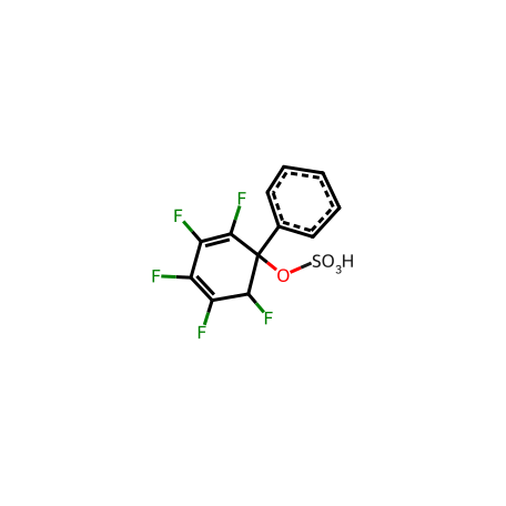 O=S(=O)(O)OC1(c2ccccc2)C(F)=C(F)C(F)=C(F)C1F